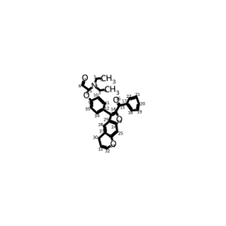 CCN(CC)C(C=O)Oc1ccc(-c2c(C(=O)c3ccccc3)oc3cc4c(cc23)CC=CO4)cc1